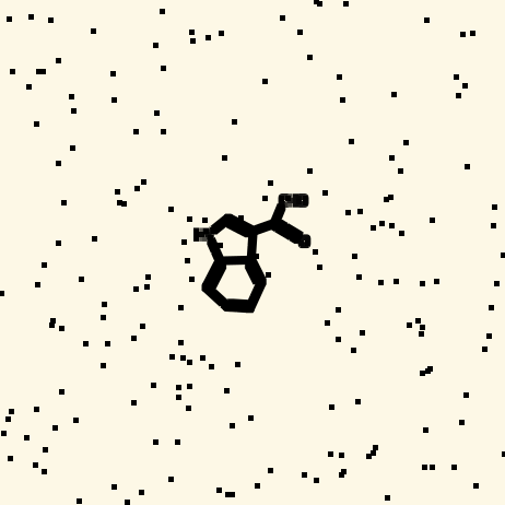 O=CC(=O)c1c[nH]c2ccccc12